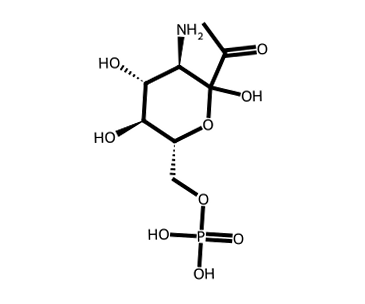 CC(=O)C1(O)O[C@H](COP(=O)(O)O)[C@@H](O)[C@H](O)[C@H]1N